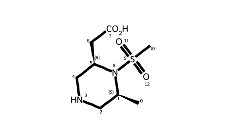 C[C@H]1CNC[C@@H](CC(=O)O)N1S(C)(=O)=O